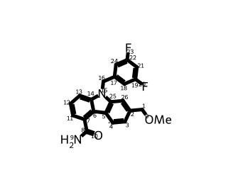 COCc1c[c]c2c3c(C(N)=O)cccc3n(Cc3cc(F)cc(F)c3)c2c1